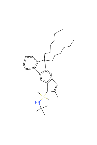 CCCCCCC1(CCCCCC)c2ccccc2-c2cc3c(cc21)C=C(C)C3S(C)(C)NC(C)(C)C